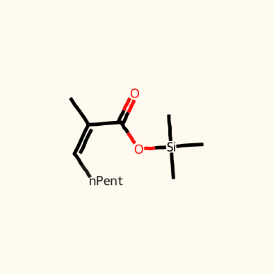 CCCCCC=C(C)C(=O)O[Si](C)(C)C